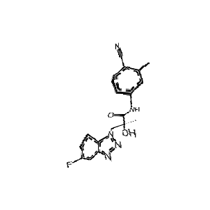 Cc1cc(NC(=O)[C@@](C)(O)Cn2nnc3cc(F)ccc32)ccc1C#N